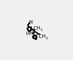 CCCC[C@@H]1[C@H](C)C2=CC(CC#N)CC=C2N[C@H]1c1ccccc1